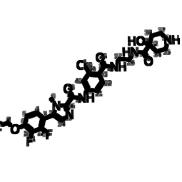 Cn1c(-c2ccc(OCC#N)c(F)c2F)cnc1C(=O)Nc1ccc(C(=O)NCCNC(=O)C2(O)CCNCC2)c(Cl)c1